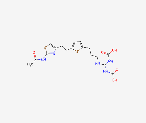 CC(=O)Nc1nc(CCc2ccc(CCCNC(NC(=O)O)NC(=O)O)s2)cs1